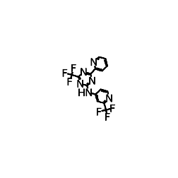 FC(F)(F)c1cc(Nc2nc(-c3ccccn3)nc(C(F)(F)F)n2)ccn1